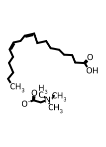 CCCCC/C=C\C/C=C\CCCCCCCC(=O)O.C[N+](C)(C)CC(=O)[O-]